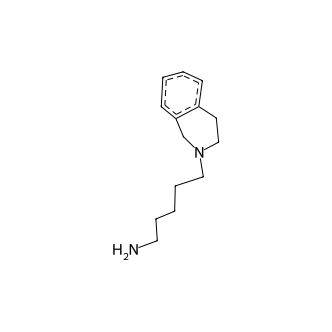 NCCCCCN1CCc2ccccc2C1